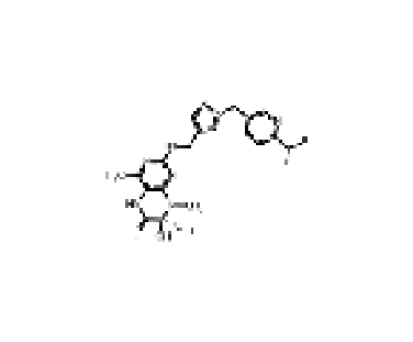 Cc1nc(NCc2cnn(Cc3ccc(C(F)F)nc3)c2)nc2c1NC(=O)[C@](C)(O)N2C